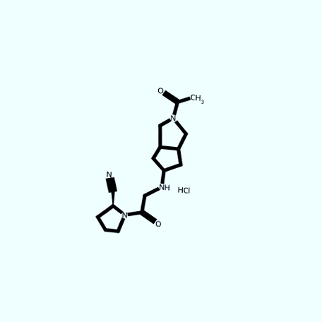 CC(=O)N1CC2CC(NCC(=O)N3CCC[C@H]3C#N)CC2C1.Cl